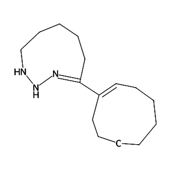 C1=C(/C2=N\NNCCCCC2)CCCCCCC/1